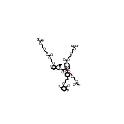 Cc1c(CN(C(=O)C2=C(c3ccc(CCCOc4c(F)ccc(F)c4Cl)cc3)CC3CN(C(=O)OCCOCCO[N+](=O)[O-])CC2N3C(=O)OCCOCCO[N+](=O)[O-])C2CC2)ccnc1OCCOC(=O)OCCOCCO[N+](=O)[O-]